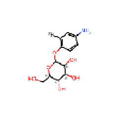 [2H]c1cc(N)ccc1OC1O[C@H](CO)[C@@H](O)[C@H](O)[C@@H]1O